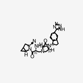 N#C[C@@H]1CC2C[C@@H]2N1C(=O)[C@@H](N)CN1C[C@@H]2C[C@H]1C(=O)N2[C@H]1CCc2cc(-c3nnn[nH]3)ccc21